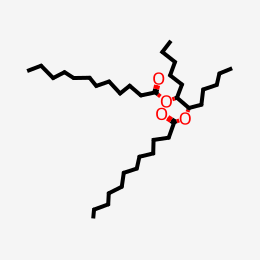 CCCCCCCCCCCC(=O)OC(CCCCC)C(CCCCC)OC(=O)CCCCCCCCCCC